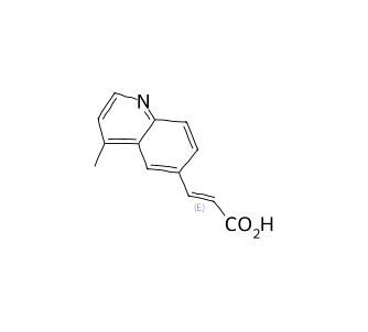 Cc1ccnc2ccc(/C=C/C(=O)O)cc12